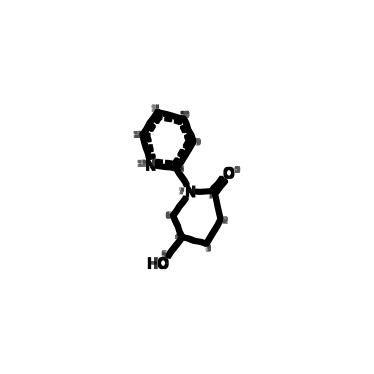 O=C1CCC(O)CN1c1ccccn1